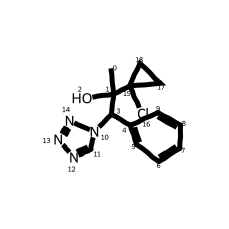 CC(O)(C(c1ccccc1)n1cnnn1)C1(Cl)CC1